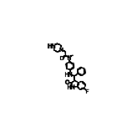 CN(C(=O)CN1CCNCC1)c1ccc(N/C(=C2\C(=O)Nc3cc(F)ccc32)c2ccccc2)cc1